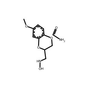 COc1ccc2c(c1)OC(CNO)CO2.NC=O